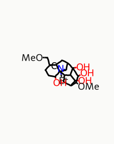 CCN1CC2(COC)CCC(O)C34C5CC6C(O)C5C(O)(C(O)C6OC)C(CC23)C14